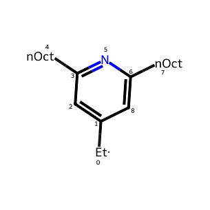 C[CH]c1cc(CCCCCCCC)nc(CCCCCCCC)c1